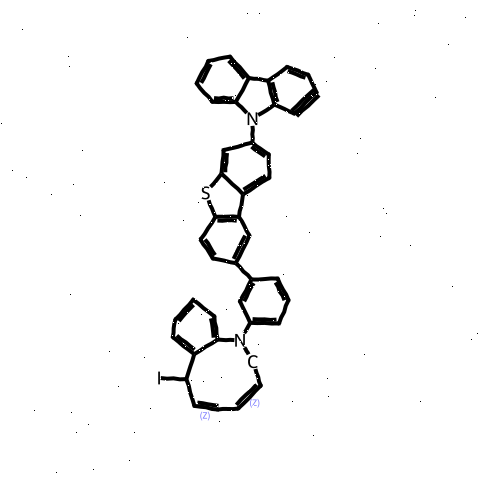 IC1/C=C\C=C/CN(c2cccc(-c3ccc4sc5cc(-n6c7c#cccc7c7ccccc76)ccc5c4c3)c2)c2ccccc21